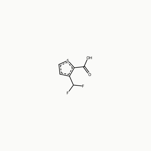 O=C(O)c1sccc1C(F)F